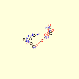 N#Cc1ccc(N[C@H]2CC[C@H](N(C(=O)NCc3ccccc3)c3ccc(-c4ccnc(OCCOCCOCCCNC(=O)COc5cccc6c5C(=O)N(C5CCC(=O)NC5=O)C6=O)c4)cc3)CC2)nc1